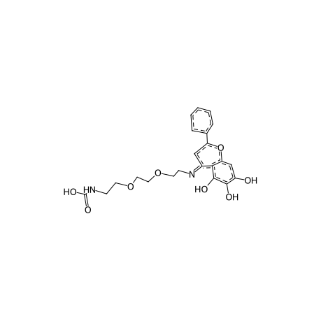 O=C(O)NCCOCCOCCN=c1cc(-c2ccccc2)oc2cc(O)c(O)c(O)c12